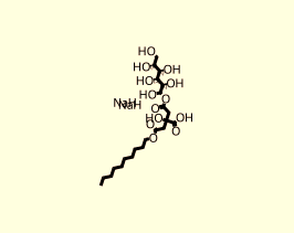 CCCCCCCCCCOC(=O)CC(O)(CC(=O)OC(O)[C@H](O)[C@@H](O)[C@H](O)[C@H](O)CO)C(=O)O.[NaH].[NaH]